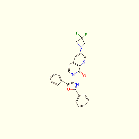 O=c1c2ncc(N3CC(F)(F)C3)cc2ccn1-c1nc(-c2ccccc2)oc1-c1ccccc1